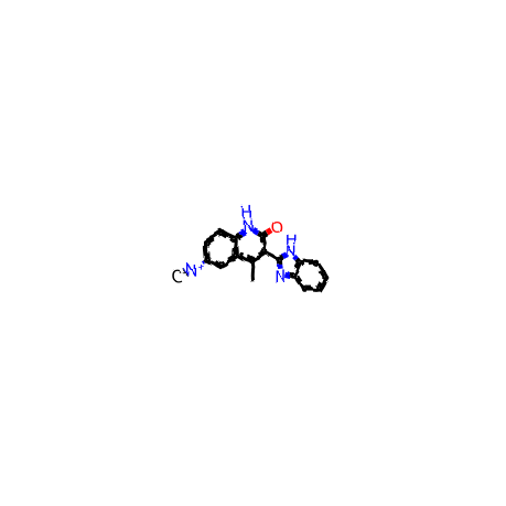 [C-]#[N+]c1ccc2[nH]c(=O)c(-c3nc4ccccc4[nH]3)c(C)c2c1